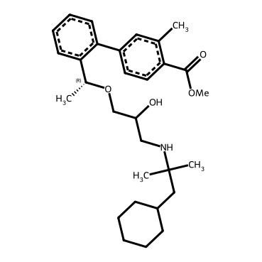 COC(=O)c1ccc(-c2ccccc2[C@@H](C)OCC(O)CNC(C)(C)CC2CCCCC2)cc1C